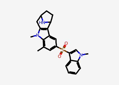 Cc1cc(S(=O)(=O)c2cn(C)c3ccccc23)cc2c3c(n(C)c12)CC1CCC3N1